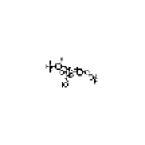 O=C(NCCO)/C(=C\c1ccc(C(F)(F)F)cc1F)NC(=O)c1ccc(OCCC(F)(F)F)cc1